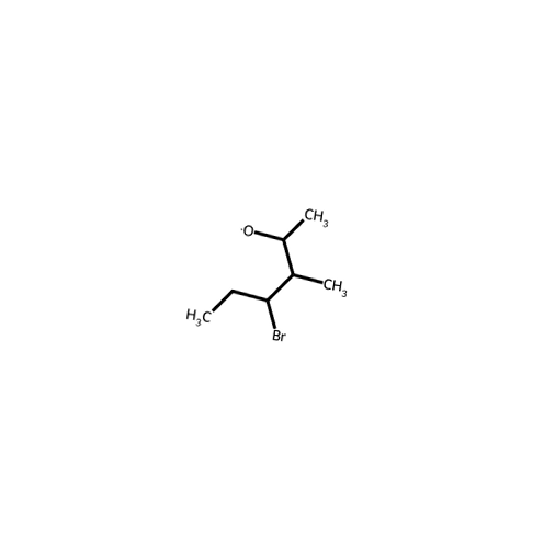 CCC(Br)C(C)C(C)[O]